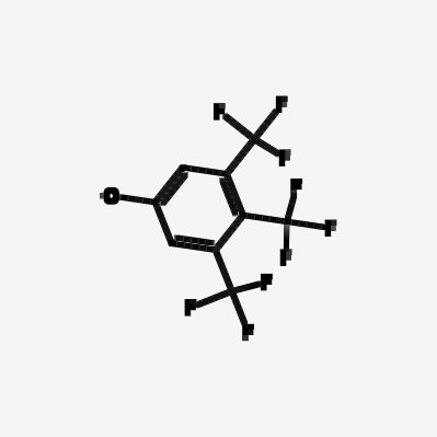 [O]c1cc(C(F)(F)F)c(C(F)(F)F)c(C(F)(F)F)c1